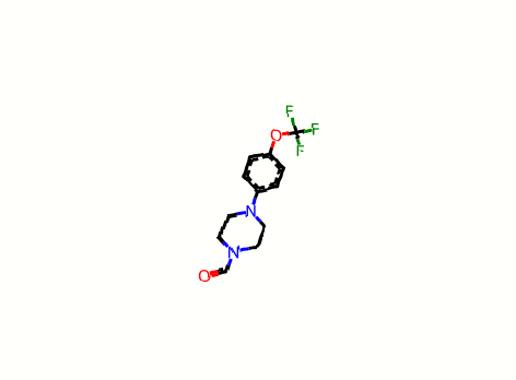 O=CN1CCN(c2ccc(OC(F)(F)F)cc2)CC1